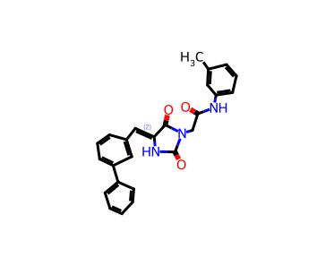 Cc1cccc(NC(=O)CN2C(=O)N/C(=C\c3cccc(-c4ccccc4)c3)C2=O)c1